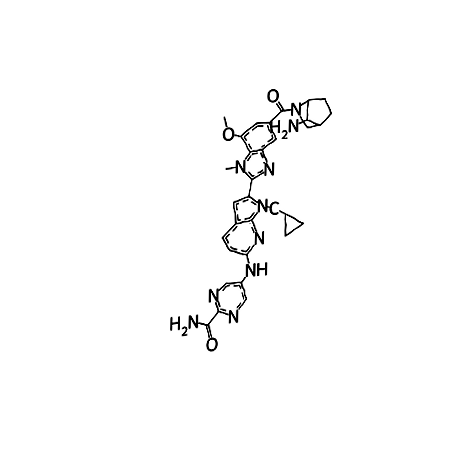 COc1cc(C(=O)N2CC3CCC2C3N)cc2nc(-c3cc4ccc(Nc5cnc(C(N)=O)nc5)nc4n3CC3CC3)n(C)c12